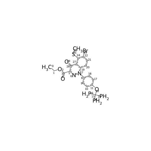 CCOC(=O)c1nn(-c2ccc(OC(P)(P)P)cc2)c2ccc(Br)c(SC)c2c1=O